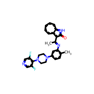 C/C(=N\c1cc(N2CCN(c3c(F)cncc3F)CC2)ccc1C)c1c2cccccc-2[nH]c1=O